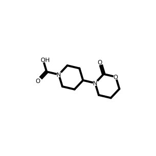 O=C(O)N1CCC(N2CCCOC2=O)CC1